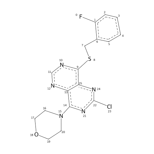 Fc1ccccc1CSc1ncnc2c(N3CCOCC3)nc(Cl)nc12